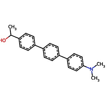 CC(O)c1ccc(-c2ccc(-c3ccc(N(C)C)cc3)cc2)cc1